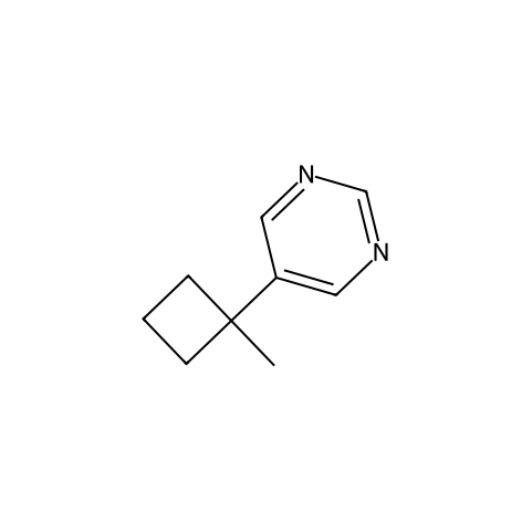 CC1(c2cncnc2)CCC1